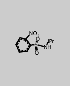 [CH2]C(C)NS(=O)(=O)c1ccccc1[N+](=O)[O-]